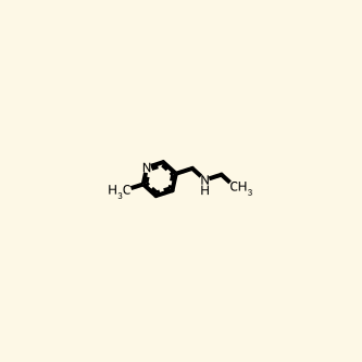 CCNCc1ccc(C)nc1